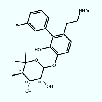 CC(=O)NCCc1ccc(OC2OC(C)(C)[C@H](C)[C@@H](O)[C@H]2O)c(O)c1-c1cccc(F)c1